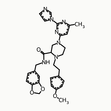 COc1ccc(CCN2CCN(c3cc(C)nc(-n4ccnc4)n3)CC2C(=O)NCc2ccc3c(c2)OCO3)cc1